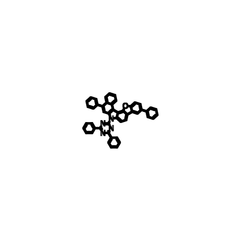 c1ccc(-c2ccc3oc4c(ccc5c4c4c6ccccc6c(-c6ccccc6)cc4n5-c4nc(-c5ccccc5)nc(-c5ccccc5)n4)c3c2)cc1